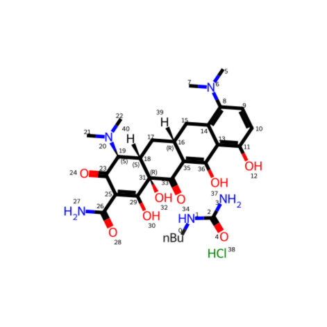 CCCCNC(N)=O.CN(C)c1ccc(O)c2c1C[C@H]1C[C@H]3[C@H](N(C)C)C(=O)C(C(N)=O)=C(O)[C@@]3(O)C(=O)C1=C2O.Cl